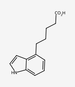 O=C(O)CCCCc1cccc2[nH]ccc12